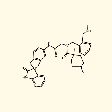 CNCc1ccccc1CN(CC(=O)Nc1ccc2c(c1)C[C@@]1(C2)C(=O)Nc2ncccc21)C(=O)C1(C)CCN(C)CC1